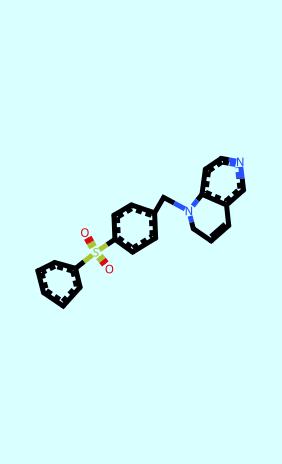 O=S(=O)(c1ccccc1)c1ccc(CN2CC=Cc3cnccc32)cc1